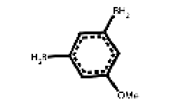 Bc1cc(B)cc(OC)c1